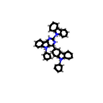 c1ccc(-n2c3ccccc3c3cc(-c4nc(-n5c6ccccc6c6ccccc65)nc5c6ccccc6n(-c6ccccc6)c45)ccc32)cc1